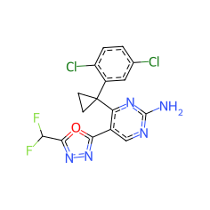 Nc1ncc(-c2nnc(C(F)F)o2)c(C2(c3cc(Cl)ccc3Cl)CC2)n1